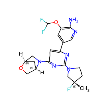 C[C@]1(F)CCN(c2nc(-c3cnc(N)c(OC(F)F)c3)cc(N3C[C@H]4C[C@@H]3CO4)n2)C1